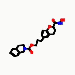 O=C(NO)C1CCc2cc(CCCOC(=O)N3CCc4ccccc4C3)ccc2O1